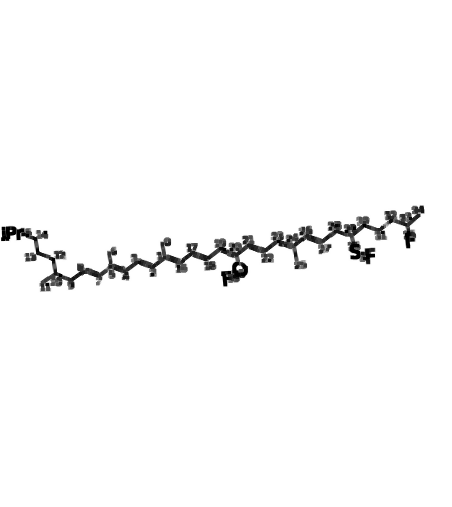 CC(/C=C/C=C(C)/C=C/CC(C)CCCC(C)C)=C\C=C\C=C(\C=C\C=C(C)\C=C\CC(CCCC(C)F)SF)OF